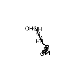 O=CNCCCOCCCOCCNCCC#Cc1cccc2c1CN(C1CCC(=O)NC1=O)C2=O